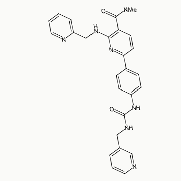 CNC(=O)c1ccc(-c2ccc(NC(=O)NCc3cccnc3)cc2)nc1NCc1ccccn1